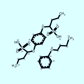 CCCC(Oc1ccc(OC(CCC)S(=O)(=O)O)cc1)S(=O)(=O)O.CCCCOc1ccccc1